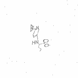 CCCC(NCc1ccc(Br)nc1)C(=O)OC